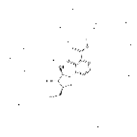 COC(=O)c1nccn([C@@H]2O[C@@H](CO)[C@H](O)[C@H]2O)c1=O